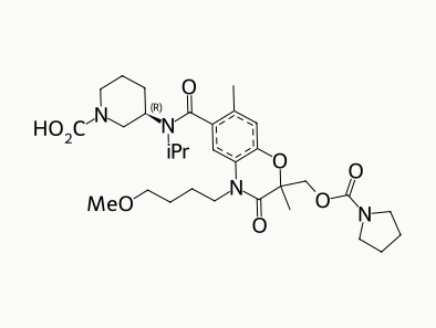 COCCCCN1C(=O)C(C)(COC(=O)N2CCCC2)Oc2cc(C)c(C(=O)N(C(C)C)[C@@H]3CCCN(C(=O)O)C3)cc21